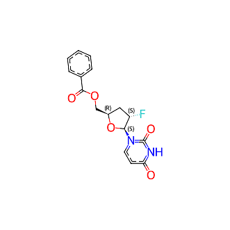 O=C(OC[C@H]1C[C@H](F)[C@@H](n2ccc(=O)[nH]c2=O)O1)c1ccccc1